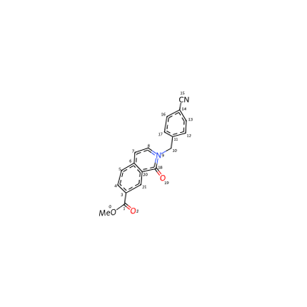 COC(=O)c1ccc2ccn(Cc3ccc(C#N)cc3)c(=O)c2c1